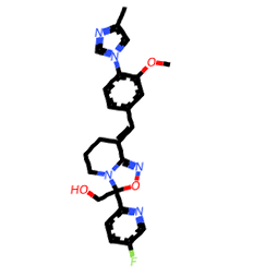 COc1cc(/C=C2\CCCN3C2=NOC3(CO)c2ccc(F)cn2)ccc1-n1cnc(C)c1